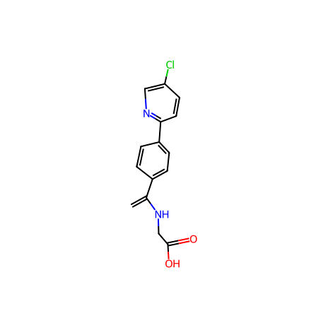 C=C(NCC(=O)O)c1ccc(-c2ccc(Cl)cn2)cc1